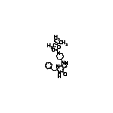 CC(C)(C)OC(=O)N1CCC(n2ncc3c(=O)[nH]c(Cc4ccccc4)nc32)CC1